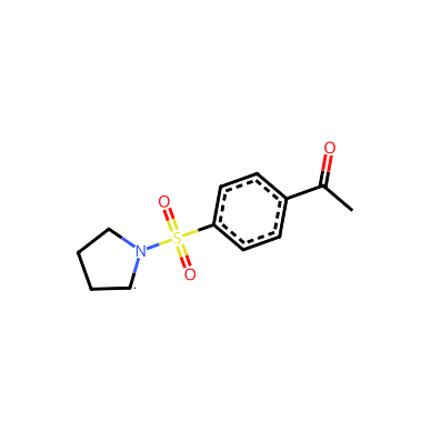 CC(=O)c1ccc(S(=O)(=O)N2[CH]CCC2)cc1